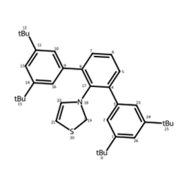 CC(C)(C)c1cc(-c2cccc(-c3cc(C(C)(C)C)cc(C(C)(C)C)c3)c2N2[C]SC=C2)cc(C(C)(C)C)c1